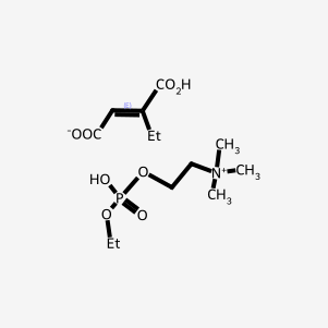 CC/C(=C\C(=O)[O-])C(=O)O.CCOP(=O)(O)OCC[N+](C)(C)C